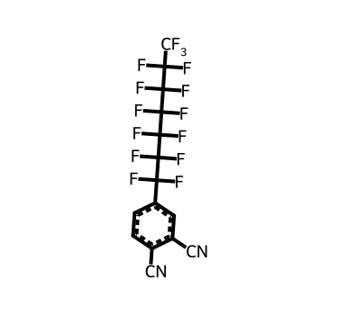 N#Cc1ccc(C(F)(F)C(F)(F)C(F)(F)C(F)(F)C(F)(F)C(F)(F)C(F)(F)F)cc1C#N